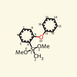 CO[Si](C)(OC)c1ccccc1Oc1ccccc1